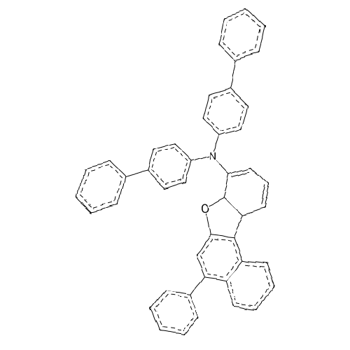 C1=CC2c3c(cc(-c4ccccc4)c4ccccc34)OC2C(N(c2ccc(-c3ccccc3)cc2)c2ccc(-c3ccccc3)cc2)=C1